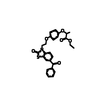 CCOC(=O)C(C)Oc1ccc(OCCn2c(=O)sc3cc(C(=O)c4ccccc4)ccc32)cc1